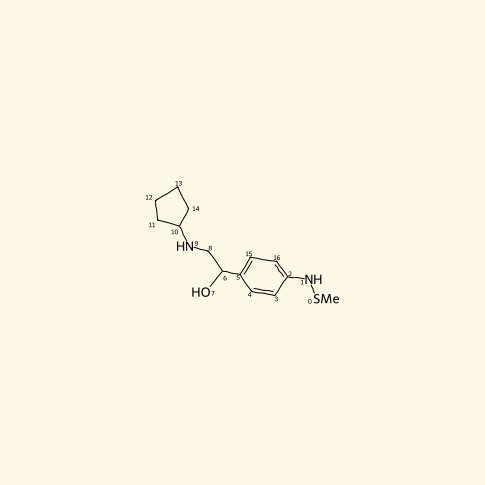 CSNc1ccc(C(O)CNC2CCCC2)cc1